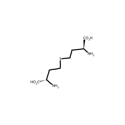 N[C@@H](CCSCC[C@H](N)C(=O)O)C(=O)O